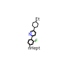 CCCCCCCc1ccc(-c2ccc(C3CCC(CC)CC3)cn2)c(F)c1